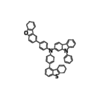 C1=Cc2c(oc3ccc(-c4ccc(N(C5=CC6C(C=C5)c5ccccc5N6c5ccccc5)C5C=CC(c6cccc7sc8c(c67)C=CCC8)=CC5)cc4)cc23)CC1